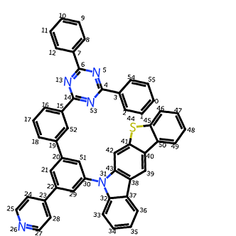 c1ccc(-c2nc(-c3ccccc3)nc(-c3cccc(-c4cc(-c5ccncc5)cc(-n5c6ccccc6c6cc7c(cc65)sc5ccccc57)c4)c3)n2)cc1